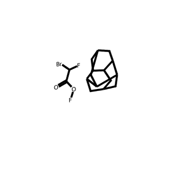 C1C2CC3C4CC5CC(C14)C(C2)C3C5.O=C(OF)C(F)Br